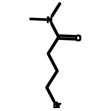 CN(C)C(=O)CCCBr